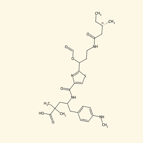 CC[C@H](C)CC(=O)NCCC(OC=O)c1nc(C(=O)NC(Cc2ccc(NC)cc2)CC(C)(C)C(=O)O)cs1